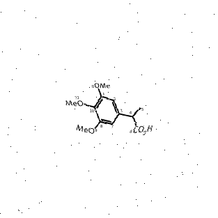 COc1cc(C(C)C(=O)O)cc(OC)c1OC